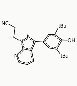 CC(C)(C)c1cc(-c2nn(CCC#N)c3ncccc23)cc(C(C)(C)C)c1O